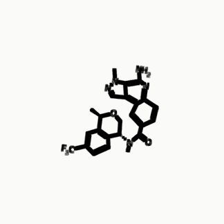 C[C@H]1OC[C@H](N(C)C(=O)c2ccc3nc(N)c4c(cnn4C)c3c2)c2ccc(C(F)(F)F)cc21